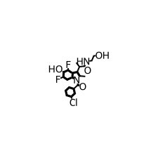 Cc1c(C(C)C(=O)NCCO)c2c(F)c(O)c(F)cc2n1C(=O)c1cccc(Cl)c1